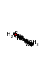 Cc1ncccc1C(=O)NC1CCC(CCN2CCc3nc(OCC(C)(F)F)sc3CC2)CC1